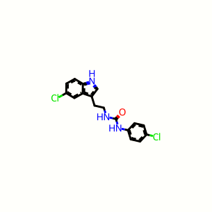 O=C(NCCc1c[nH]c2ccc(Cl)cc12)Nc1ccc(Cl)cc1